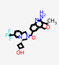 C[C@H]1OCc2c1c(N)nc1ccc(C(=O)N(CC[C@H]3C[C@@H](O)C3)Cc3ccc(C(F)(F)F)cn3)cc21